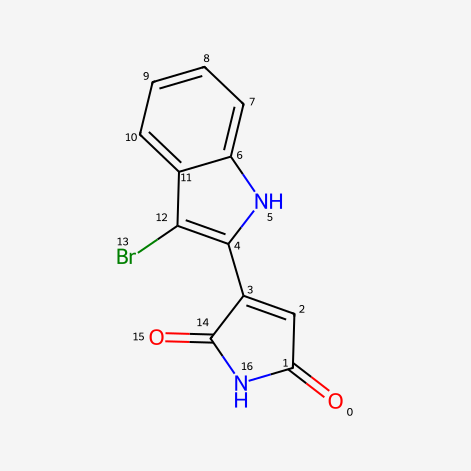 O=C1C=C(c2[nH]c3ccccc3c2Br)C(=O)N1